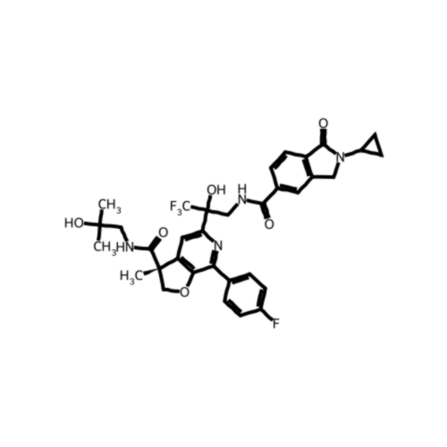 CC(C)(O)CNC(=O)[C@@]1(C)COc2c1cc(C(O)(CNC(=O)c1ccc3c(c1)CN(C1CC1)C3=O)C(F)(F)F)nc2-c1ccc(F)cc1